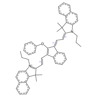 CCCN1/C(=C/C=C2C(Oc3ccccc3)=C(/C=C/C3=[N+](CCC)c4ccc5ccccc5c4C3(C)C)c3ccccc3/2)C(C)(C)c2c1ccc1ccccc21